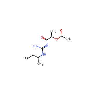 CCC(C)N/C(N)=N/C(=O)C(C)OC(C)=O